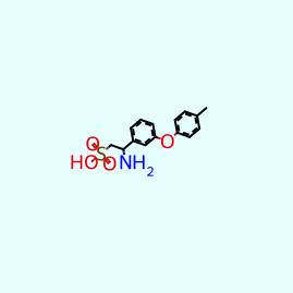 Cc1ccc(Oc2cccc(C(N)CS(=O)(=O)O)c2)cc1